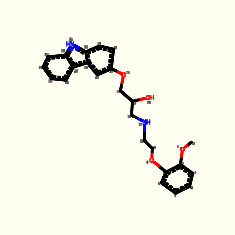 COc1ccccc1OCCNCC(O)COc1ccc2[nH]c3ccccc3c2c1